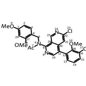 COc1ccc(CN(C(C)=O)c2ncc(-c3cccc(Cl)c3OC)c3cc(Cl)ncc23)c(OC)c1